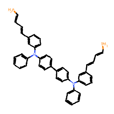 P/C=C/C=C/c1cccc(N(c2ccccc2)c2ccc(-c3ccc(N(c4ccccc4)c4cccc(/C=C/C=C/P)c4)cc3)cc2)c1